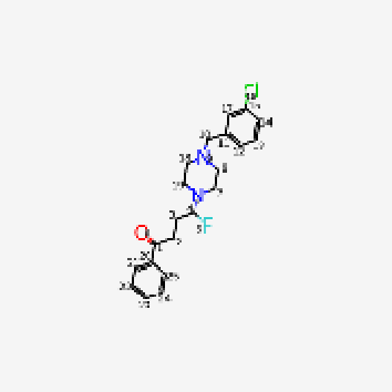 O=C(CCC(F)N1CCN(Cc2cccc(Cl)c2)CC1)c1ccccc1